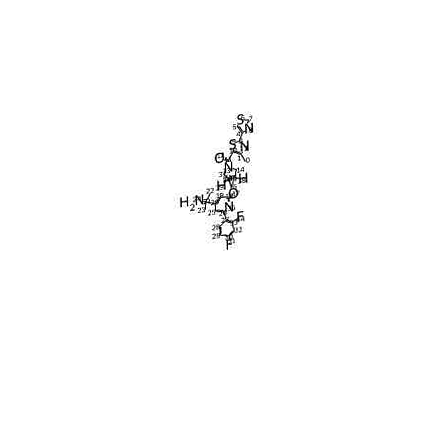 Cc1nc(-c2cscn2)sc1C(=O)N1C[C@@H]2C(Oc3cc(C(C)(C)N)cc(-c4ccc(F)cc4F)n3)[C@@H]2C1